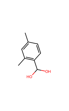 Cc1ccc(C(O)O)c(C)c1